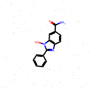 NC(=O)c1ccc2nc(-c3ccccc3)n(O)c2c1